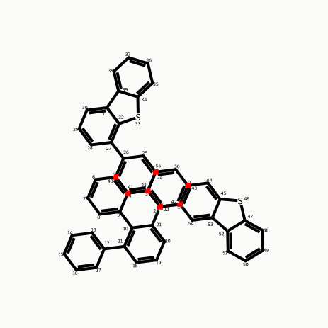 c1ccc(-c2ccccc2-c2c(-c3ccccc3)cccc2N(c2ccc(-c3cccc4c3sc3ccccc34)cc2)c2ccc3sc4ccccc4c3c2)cc1